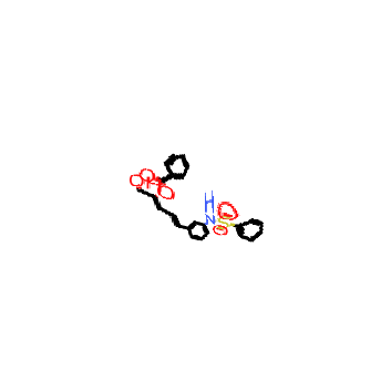 O=C(OC(CO)CC=Cc1cccc(NS(=O)(=O)c2ccccc2)c1)c1ccccc1